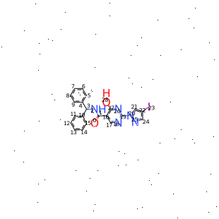 O=C(NC(c1ccccc1)c1ccccc1)c1cnc(-n2cc(I)cn2)nc1O